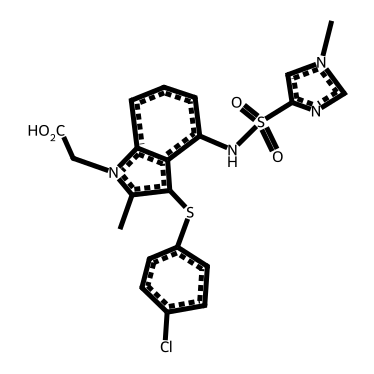 Cc1c(Sc2ccc(Cl)cc2)c2c(NS(=O)(=O)c3cn(C)cn3)cccc2n1CC(=O)O